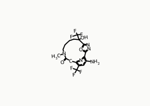 CN1CCCCC(O)(C(F)(F)F)c2nnc(o2)-c2nc(c(C(F)(F)F)cc2N)CC1=O